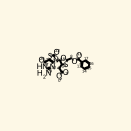 COC(=O)CC1SC(COC(=O)c2ccccc2)OC1n1c(=O)sc2c(=O)[nH]c(N)nc21